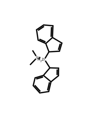 C[Si](C)=[ZrH2]([CH]1C=Cc2ccccc21)[CH]1C=Cc2ccccc21